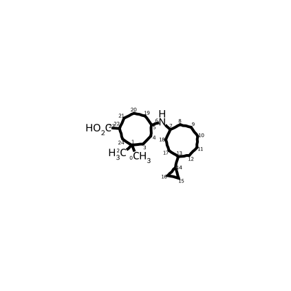 CC1(C)CCC(NC2CCCCCC(C3CC3)CC2)CCCC(C(=O)O)C1